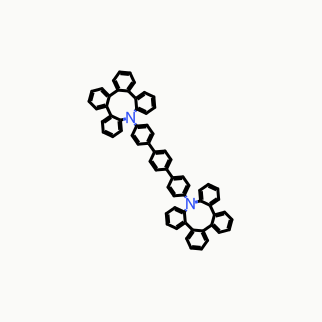 c1ccc2c(c1)c1ccccc1c1ccccc1n(-c1ccc(-c3ccc(-c4ccc(-n5c6ccccc6c6ccccc6c6ccccc6c6ccccc65)cc4)cc3)cc1)c1ccccc21